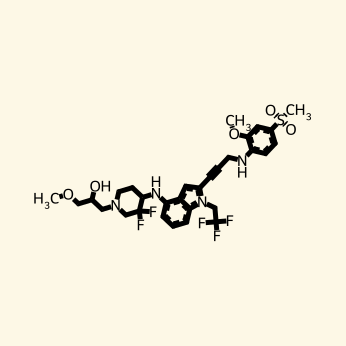 COCC(O)CN1CCC(Nc2cccc3c2cc(C#CCNc2ccc(S(C)(=O)=O)cc2OC)n3CC(F)(F)F)C(F)(F)C1